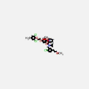 COCCCc1ccc(Cl)c(CN(C(=O)C2=C(c3ccc(OCCOc4c(Cl)cc(C)cc4Cl)cc3)CC3CCC2N3C(=O)OC(C)(C)C)C2CC2)c1